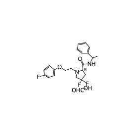 CC(NC(=O)[C@H]1CC(F)(F)CN1CCOc1ccc(F)cc1)c1ccccc1.O=CO